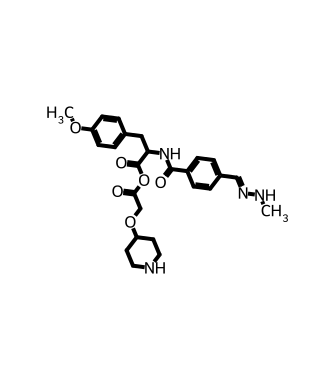 CNN=Cc1ccc(C(=O)NC(Cc2ccc(OC)cc2)C(=O)OC(=O)COC2CCNCC2)cc1